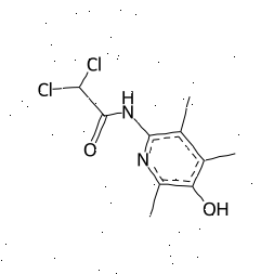 Cc1nc(NC(=O)C(Cl)Cl)c(C)c(C)c1O